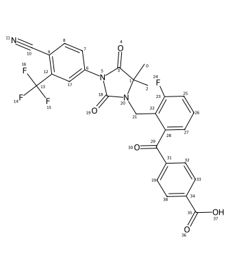 CC1(C)C(=O)N(c2ccc(C#N)c(C(F)(F)F)c2)C(=O)N1Cc1c(F)cccc1C(=O)c1ccc(C(=O)O)cc1